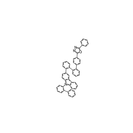 c1ccc(-c2nnc(-c3ccc(-c4ccccc4-c4ccccc4-c4ccc5c(c4)c4ccccc4n5-c4ccccc4-c4ccccc4)cc3)o2)cc1